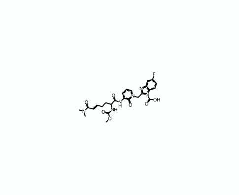 COC(=O)NC(CC/C=C/C(=O)N(C)C)C(=O)Nc1cccn(Cc2nc3cc(F)ccc3n2C(=O)O)c1=O